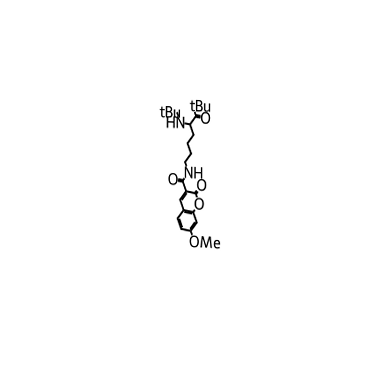 COc1ccc2cc(C(=O)NCCCCC(NC(C)(C)C)C(=O)C(C)(C)C)c(=O)oc2c1